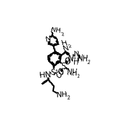 CC(CCN)N[S+]([O-])c1ccc(-c2ccc(N)nc2)c(/C(N)=N/NN)c1S(N)(=O)=O